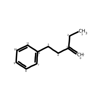 [CH]=C(CC)CCc1ccccc1